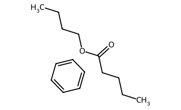 CCCCOC(=O)CCCC.c1ccccc1